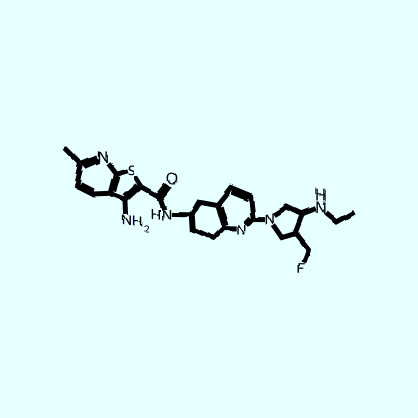 CCNC1CN(c2ccc3c(n2)CCC(NC(=O)c2sc4nc(C)ccc4c2N)C3)CC1CF